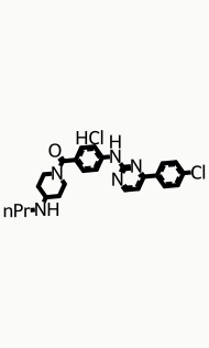 CCCNC1CCN(C(=O)c2ccc(Nc3nccc(-c4ccc(Cl)cc4)n3)cc2)CC1.Cl